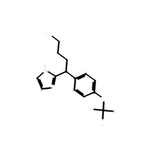 NCCCC(c1ccc(OC(F)(F)F)cc1)c1ncc[nH]1